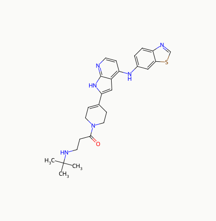 CC(C)(C)NCCC(=O)N1CC=C(c2cc3c(Nc4ccc5ncsc5c4)ccnc3[nH]2)CC1